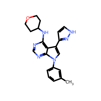 Cc1cccc(-n2cc(-c3cc[nH]n3)c3c(NC4CCOCC4)ncnc32)c1